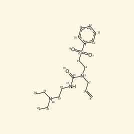 C=CCN(CCS(=O)(=O)c1ccccc1)C(=O)NCCN(CC)CC